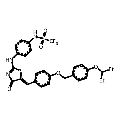 CCC(CC)Oc1ccc(COc2ccc(/C=C3\SC(Nc4ccc(NS(=O)(=O)C(F)(F)F)cc4)=NC3=O)cc2)cc1